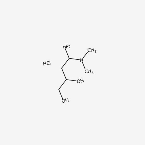 CCCC(CC(O)CO)N(C)C.Cl